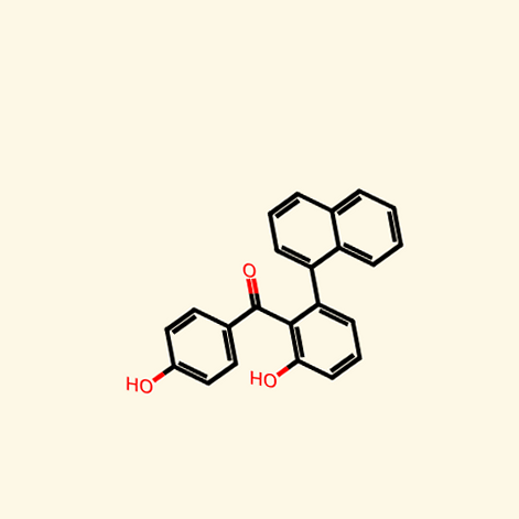 O=C(c1ccc(O)cc1)c1c(O)cccc1-c1cccc2ccccc12